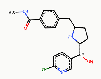 CNC(=O)c1ccc(CC2CCC([C@H](O)c3ccc(Cl)nc3)N2)cc1